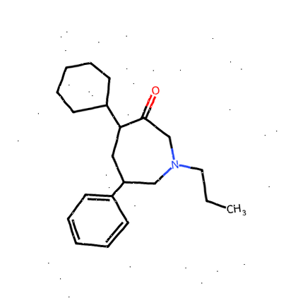 CCCN1CC(=O)C(C2CCCCC2)CC(c2ccccc2)C1